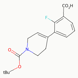 CC(C)(C)OC(=O)N1CC=C(c2cccc(C(=O)O)c2F)CC1